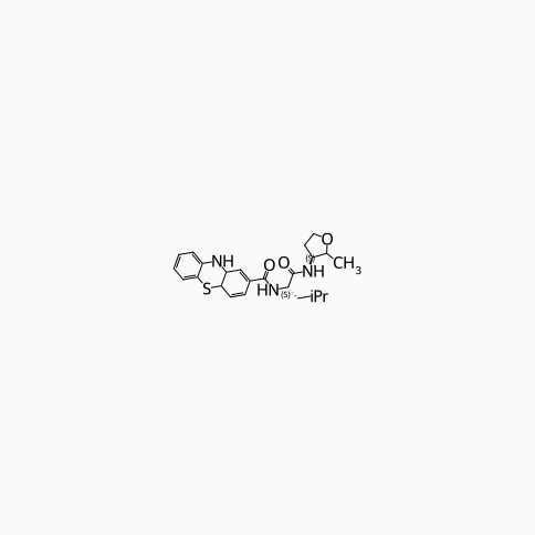 CC(C)C[C@H](NC(=O)C1=CC2Nc3ccccc3SC2C=C1)C(=O)N[C@H]1CCOC1C